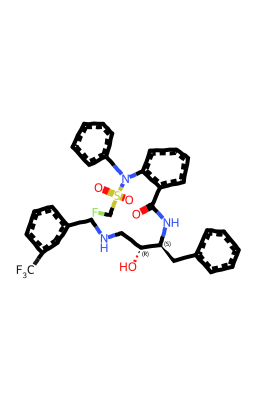 O=C(N[C@@H](Cc1ccccc1)[C@H](O)CNCc1cccc(C(F)(F)F)c1)c1ccccc1N(c1ccccc1)S(=O)(=O)CF